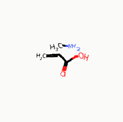 C=CC(=O)O.CN